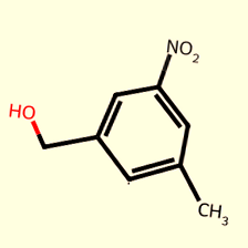 Cc1[c]c(CO)cc([N+](=O)[O-])c1